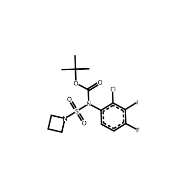 CC(C)(C)OC(=O)N(c1ccc(F)c(I)c1Cl)S(=O)(=O)N1CCC1